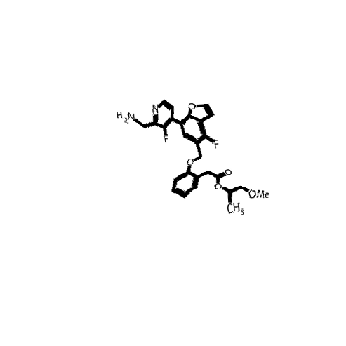 COCC(C)OC(=O)Cc1ccccc1OCc1cc(-c2ccnc(CN)c2F)c2occc2c1F